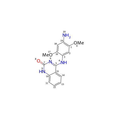 COc1cc(Nc2nc(=O)[nH]c3ccccc23)c(OC)cc1N